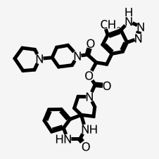 Cc1cc(CC(OC(=O)N2CCC3(CC2)NC(=O)Nc2ccccc23)C(=O)N2CCC(N3CCCCC3)CC2)cc2nn[nH]c12